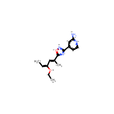 C/C=C(\C=C(/C)c1nc(-c2ccnc(N)c2)no1)OCC